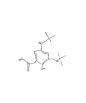 C[C](C)(C)[Sn][c]1c[c]([Sn][C](C)(C)C)c(O)c(C(=O)O)c1